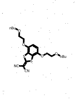 CCCCOCCOc1ccc(OCCOCCCC)c2c1SC(=C(C#N)C#N)S2